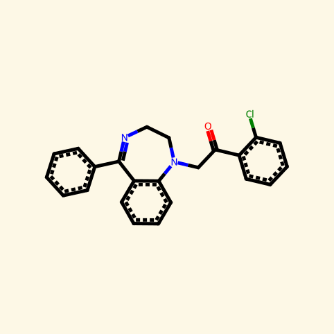 O=C(CN1CCN=C(c2ccccc2)c2ccccc21)c1ccccc1Cl